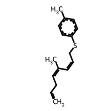 C=CC/C=C(C)\C=C/CSc1ccc(C)cc1